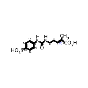 C/C(=C\CCNC(=O)Nc1ccc(S(=O)(=O)O)cc1)C(=O)O